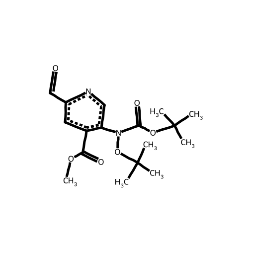 COC(=O)c1cc(C=O)ncc1N(OC(C)(C)C)C(=O)OC(C)(C)C